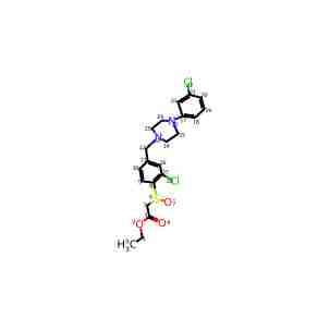 CCOC(=O)C[S+]([O-])c1ccc(CN2CCN(c3cccc(Cl)c3)CC2)cc1Cl